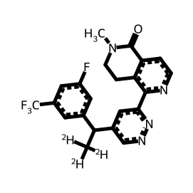 [2H]C([2H])([2H])C(c1cc(F)cc(C(F)(F)F)c1)c1cnnc(-c2nccc3c2CCN(C)C3=O)c1